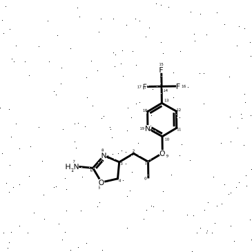 CC(CC1COC(N)=N1)Oc1ccc(C(F)(F)F)cn1